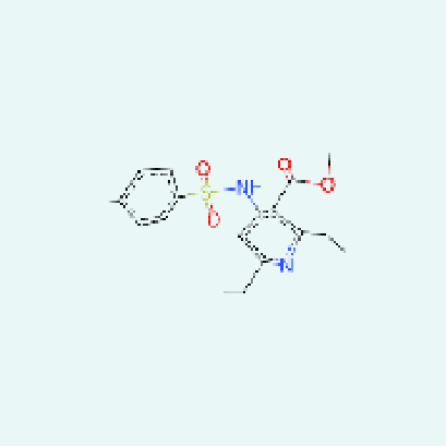 CCc1cc(NS(=O)(=O)c2ccc(C)cc2)c(C(=O)OC)c(CC)n1